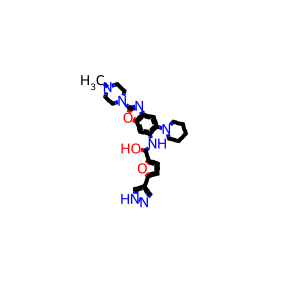 CN1CCN(c2nc3cc(N4CCCCC4)c(NC(O)c4ccc(-c5cn[nH]c5)o4)cc3o2)CC1